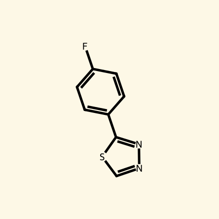 Fc1ccc(-c2nncs2)cc1